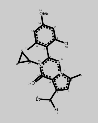 CCC(CC)c1cc(C)n2nc(-c3c(C)cc(OC)cc3Cl)n(C3CC3)c(=O)c12